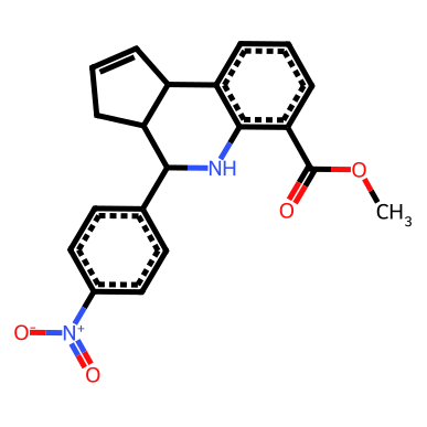 COC(=O)c1cccc2c1NC(c1ccc([N+](=O)[O-])cc1)C1CC=CC21